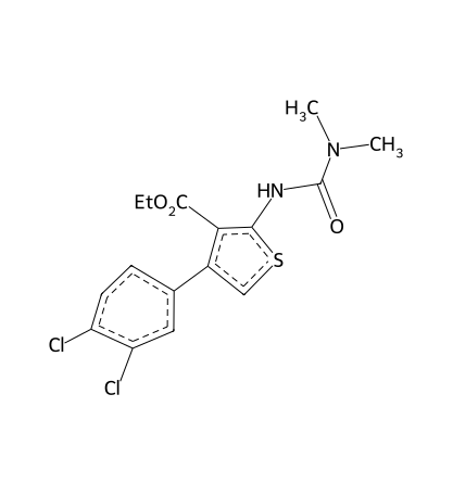 CCOC(=O)c1c(-c2ccc(Cl)c(Cl)c2)csc1NC(=O)N(C)C